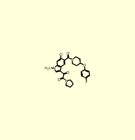 Cn1cc(C(=O)C(=O)N2CCCC2)c2cc(C(=O)N3CCC(Oc4ccc(F)cc4)CC3)c(Cl)cc21